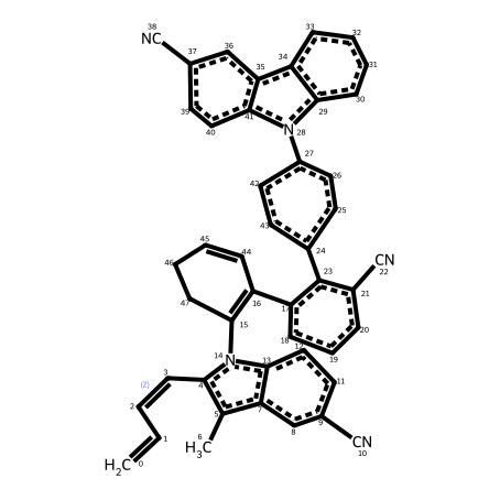 C=C/C=C\c1c(C)c2cc(C#N)ccc2n1C1=C(c2cccc(C#N)c2-c2ccc(-n3c4ccccc4c4cc(C#N)ccc43)cc2)C=CCC1